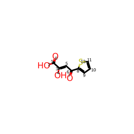 O=C(O)C(O)=CC(=O)c1cccs1